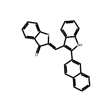 O=C1/C(=C/c2c(-c3ccc4ccccc4c3)[nH]c3ccccc23)Sc2ccccc21